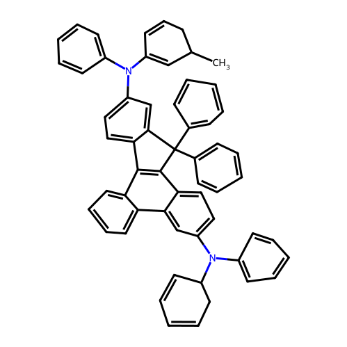 CC1C=C(N(c2ccccc2)c2ccc3c(c2)C(c2ccccc2)(c2ccccc2)c2c-3c3ccccc3c3cc(N(c4ccccc4)C4C=CC=CC4)ccc23)C=CC1